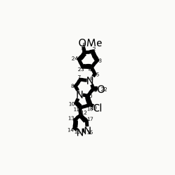 COc1ccc(CN2CCn3cc(-c4ccnnc4)c(Cl)c3C2=O)cc1